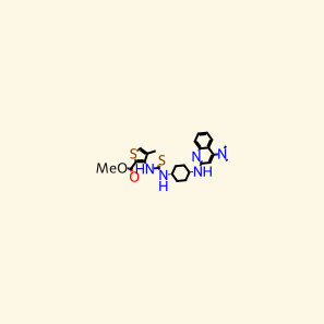 COC(=O)c1scc(C)c1NC(=S)N[C@H]1CC[C@@H](Nc2cc(N(C)C)c3ccccc3n2)CC1